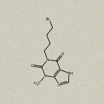 Cn1c(=O)n(CCCCBr)c(=O)c2[nH]cnc21